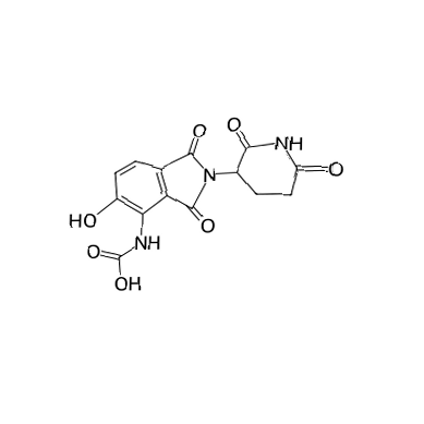 O=C(O)Nc1c(O)ccc2c1C(=O)N(C1CCC(=O)NC1=O)C2=O